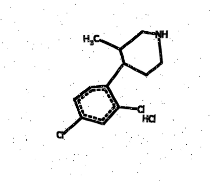 CC1CNCCC1c1ccc(Cl)cc1Cl.Cl